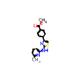 COC(=O)c1ccc(-c2csc(Nc3cccc(C)n3)n2)cc1